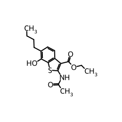 CCCCc1ccc2c(C(=O)OCC)c(NC(C)=O)sc2c1O